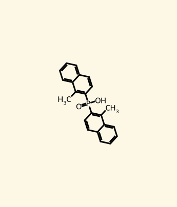 Cc1c(P(=O)(O)c2ccc3ccccc3c2C)ccc2ccccc12